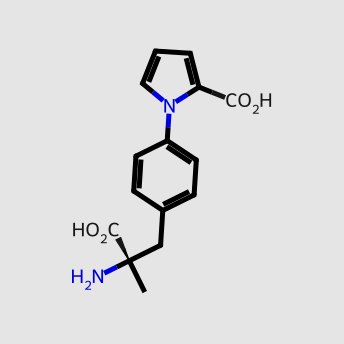 C[C@](N)(Cc1ccc(-n2cccc2C(=O)O)cc1)C(=O)O